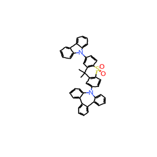 CC1(C)c2cc(N3c4ccccc4-c4ccccc4-c4ccccc43)ccc2S(=O)(=O)c2ccc(-n3c4ccccc4c4ccccc43)cc21